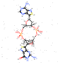 CO[C@H]1[C@H]2OP(=O)(O)OC[C@H]3O[C@@H](c4snc5c(N)ncnc45)C[C@@H]3OP(=O)(O)OC[C@H]1O[C@H]2c1snc2c(=O)[nH]c(N)nc12